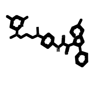 Cc1cc(C)nc(N(C)CCCN(C)c2ccc(NC(=O)C(=O)c3c(-c4ccccc4)cc4cc(C)ccn34)cc2)c1